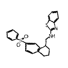 O=S(=O)(c1ccccc1)c1ccc2c(c1)C(CNc1nc3ccccc3s1)CCC2